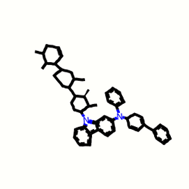 CC1CC=CC(C2CCC(C3CCC(n4c5ccccc5c5ccc(N(c6ccccc6)C6C=CC(c7ccccc7)=CC6)cc54)C(C)[C@@H]3C)C(C)C2)C1C